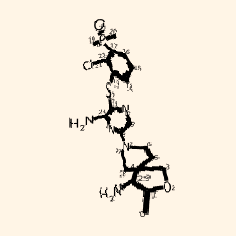 CC1OCC2(CCN(c3cnc(Sc4cccc(P(C)(C)=O)c4Cl)c(N)n3)CC2)C1N